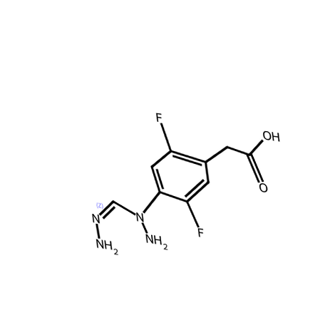 N/N=C\N(N)c1cc(F)c(CC(=O)O)cc1F